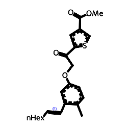 CCCCCC/C=C/c1cc(OCC(=O)c2cc(C(=O)OC)cs2)ccc1C